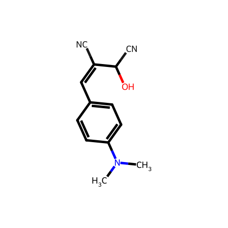 CN(C)c1ccc(/C=C(/C#N)C(O)C#N)cc1